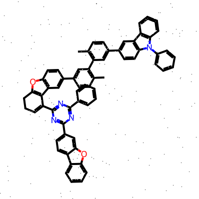 Cc1ccc(-c2ccc3oc4c(c3c2)C(c2nc(-c3ccccc3)nc(-c3ccc5c(c3)oc3ccccc35)n2)=CCC4)cc1-c1cc(-c2ccc3c(c2)c2c(n3-c3ccccc3)C=C=C=C2)ccc1C